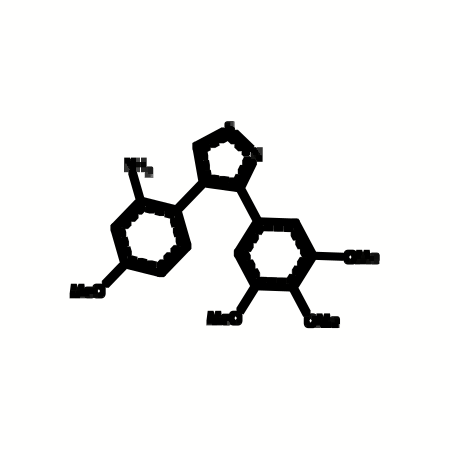 COc1ccc(-c2csnc2-c2cc(OC)c(OC)c(OC)c2)c(N)c1